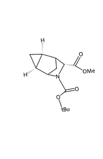 COC(=O)[C@H]1C2CC([C@H]3C[C@@H]23)N1C(=O)OC(C)(C)C